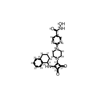 O=C(NO)c1cnc(N2CCN(c3c(NC4CCCc5ccccc54)c(=O)c3=O)CC2)nc1